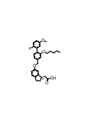 CCCCCOc1cc(COc2ccc3c(c2)[C@@H](CC(=O)O)CC3)ccc1-c1cc(OC)ccc1F